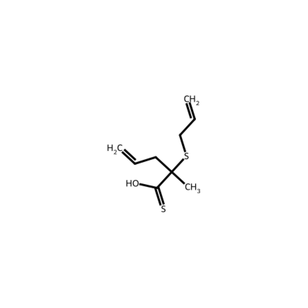 C=CCSC(C)(CC=C)C(O)=S